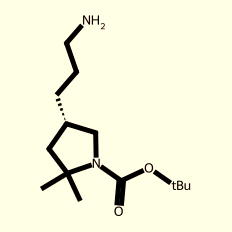 CC(C)(C)OC(=O)N1C[C@@H](CCCN)CC1(C)C